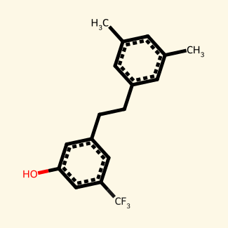 Cc1cc(C)cc(CCc2cc(O)cc(C(F)(F)F)c2)c1